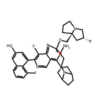 NCCCN1C2CCC1CN(c1nc(OC[C@@]34CCCN3C[C@H](F)C4)nc3c(F)c(-c4cc(O)cc5cccc(F)c45)ncc13)C2